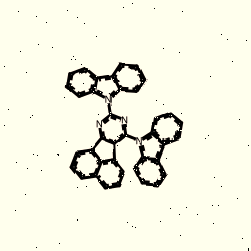 c1cc2c3c(cccc3c1)-c1c-2nc(-n2c3ccccc3c3ccccc32)nc1-n1c2ccccc2c2ccccc21